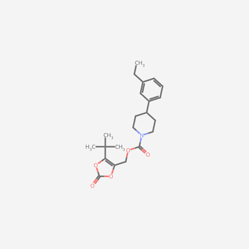 CCc1cccc(C2CCN(C(=O)OCc3oc(=O)oc3C(C)(C)C)CC2)c1